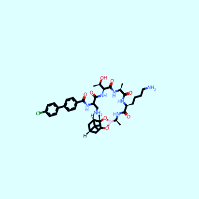 C[C@H](NC(=O)[C@H](CCCCN)NC(=O)[C@H](C)NC(=O)[C@@H](NC(=O)C(CN)NC(=O)c1ccc(-c2ccc(Cl)cc2)cc1)[C@@H](C)O)B1OC2C[C@@H]3C[C@@H](C3(C)C)[C@]2(C)O1